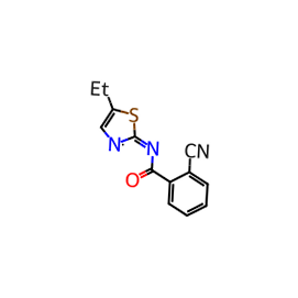 CCC1=C[N]C(=NC(=O)c2ccccc2C#N)S1